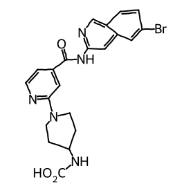 O=C(O)NC1CCN(c2cc(C(=O)Nc3cc4cc(Br)ccc4cn3)ccn2)CC1